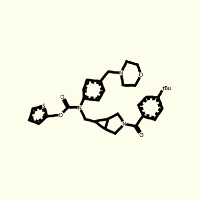 CC(C)(C)c1ccc(C(=O)N2CC3C(C2)C3CN(C(=O)Oc2cccs2)c2ccc(CN3CCOCC3)cc2)cc1